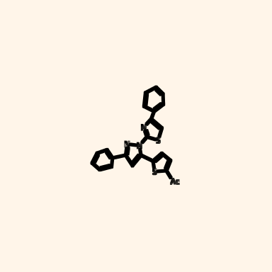 CC(=O)c1ccc(-c2cc(-c3ccccc3)nn2-c2nc(-c3ccccc3)cs2)s1